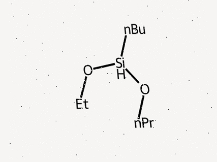 CCCC[SiH](OCC)OCCC